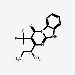 CC[C@H](C)c1nc2[nH]c3ccccc3n2c(=O)c1C(F)(F)F